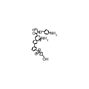 CCCN(OCc1ccc(N)cc1)C(=O)C1=Cc2ccc(-c3cccc(S(=O)(=O)N4CC(CO)C4)c3)cc2N=C(N)C1